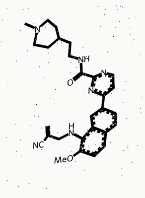 C=C(C#N)CNc1c(OC)ccc2ccc(-c3ccnc(C(=O)NCCC4CCN(C)CC4)n3)cc12